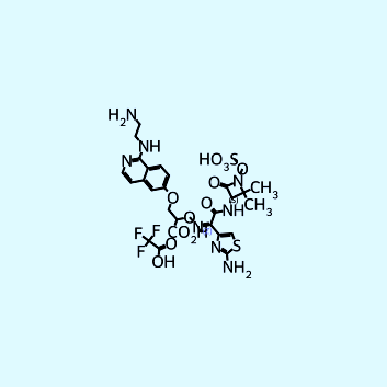 CC1(C)[C@H](NC(=O)/C(=N\OC(COc2ccc3c(NCCN)nccc3c2)C(=O)O)c2csc(N)n2)C(=O)N1OS(=O)(=O)O.O=C(O)C(F)(F)F